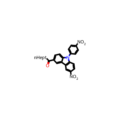 CCCCCCCC(=O)c1ccc2c(c1)c1cc([N+](=O)[O-])ccc1n2-c1ccc([N+](=O)[O-])cc1